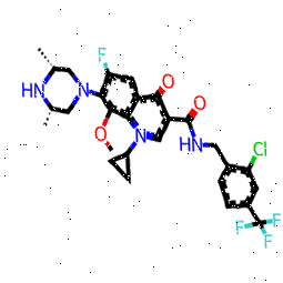 COc1c(N2C[C@@H](C)N[C@@H](C)C2)c(F)cc2c(=O)c(C(=O)NCc3ccc(C(F)(F)F)cc3Cl)cn(C3CC3)c12